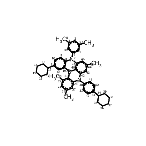 Cc1cc(C)cc(N2c3ccc(C4CCCCC4)cc3B3c4c(C)cc(C)cc4N(c4ccc(C5CCCCC5)cc4)c4cc(C)cc2c43)c1